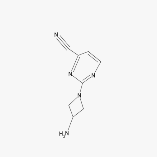 N#Cc1ccnc(N2CC(N)C2)n1